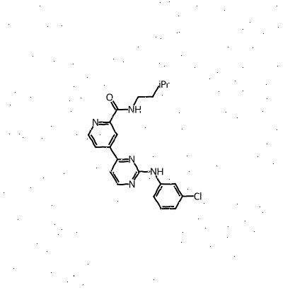 CC(C)CCNC(=O)c1cc(-c2ccnc(Nc3cccc(Cl)c3)n2)ccn1